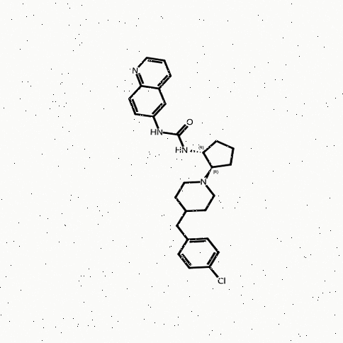 O=C(Nc1ccc2ncccc2c1)N[C@@H]1CCC[C@H]1N1CCC(Cc2ccc(Cl)cc2)CC1